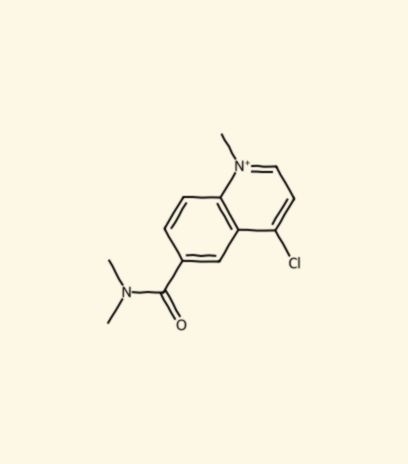 CN(C)C(=O)c1ccc2c(c1)c(Cl)cc[n+]2C